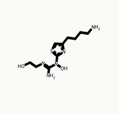 NCCCCc1csc(N(O)C(N)=NCCO)n1